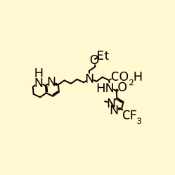 CCOCCN(CCCCc1ccc2c(n1)NCCC2)CC[C@H](NC(=O)c1cc(C(F)(F)F)nn1C)C(=O)O